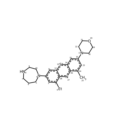 CCc1cc(N2CCCNCC2)cc2[s+]c3cc(N4CCOCC4)cc(C)c3nc12